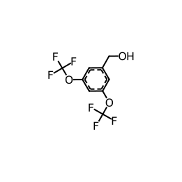 OCc1cc(OC(F)(F)F)cc(OC(F)(F)F)c1